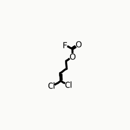 O=C(F)OCCC=C(Cl)Cl